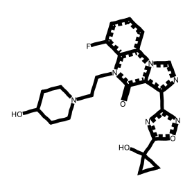 O=c1c2c(-c3noc(C4(O)CC4)n3)ncn2c2cccc(F)c2n1CCN1CCC(O)CC1